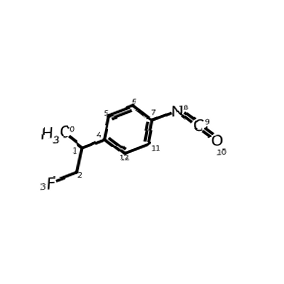 CC(CF)c1ccc(N=C=O)cc1